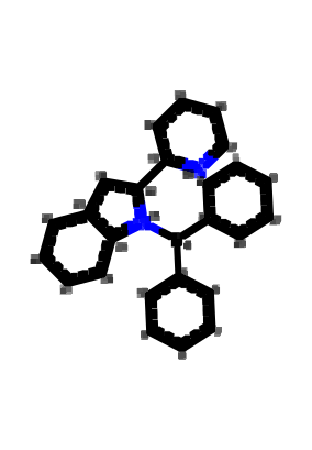 c1ccc(B(c2ccccc2)n2c(-c3ccccn3)cc3ccccc32)cc1